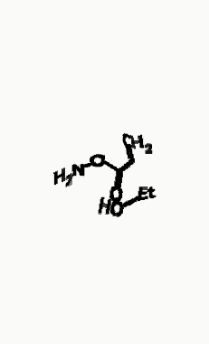 C=CC(=O)ON.CCO